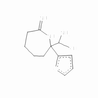 CC(N)C1(c2ccco2)CCCCC(=N)N1